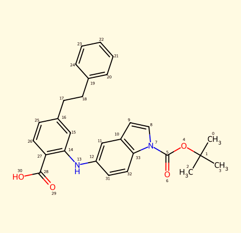 CC(C)(C)OC(=O)n1ccc2cc(Nc3cc(CCc4ccccc4)ccc3C(=O)O)ccc21